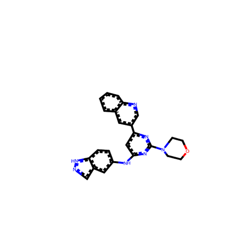 c1ccc2ncc(-c3cc(Nc4ccc5[nH]ncc5c4)nc(N4CCOCC4)n3)cc2c1